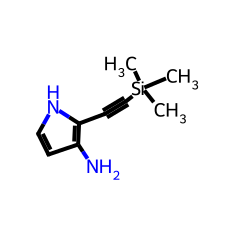 C[Si](C)(C)C#Cc1[nH]ccc1N